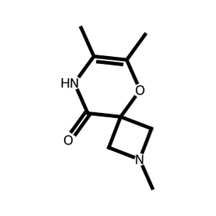 CC1=C(C)OC2(CN(C)C2)C(=O)N1